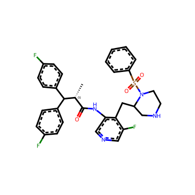 C[C@H](C(=O)Nc1cncc(F)c1CC1CNCCN1S(=O)(=O)c1ccccc1)C(c1ccc(F)cc1)c1ccc(F)cc1